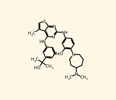 COc1cc(Nc2nc(Nc3cccc(C(C)(C)O)c3)c3c(C)csc3n2)ccc1N1CCCC(N(C)C)CC1